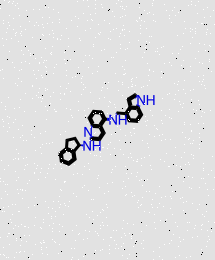 c1ccc2c(c1)CC[C@H]2Nc1ccc2c(NCc3cccc4[nH]ccc34)cccc2n1